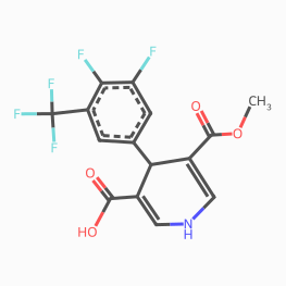 COC(=O)C1=CNC=C(C(=O)O)C1c1cc(F)c(F)c(C(F)(F)F)c1